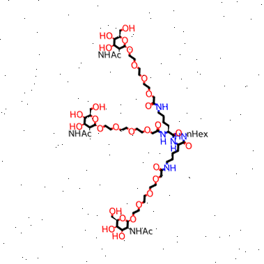 CCCCCCNC(=O)C(CCCCNC(=O)COCCOCCOCCO[C@@H]1O[C@H](CO)[C@H](O)[C@H](O)[C@H]1NC(C)=O)NC(=O)[C@H](CCCCNC(=O)COCCOCCOCCO[C@@H]1O[C@H](CO)[C@H](O)[C@H](O)[C@H]1NC(C)=O)NC(=O)COCCOCCOCCO[C@@H]1O[C@H](CO)[C@H](O)[C@H](O)[C@H]1NC(C)=O